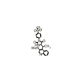 CNc1cnc2ccccc2c1C(C)C1NC(=O)N(c2ccc(S(=O)(=O)C(F)(F)F)cc2)C1=O